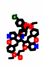 CCOC(=O)CCOc1ccnc2c1C(=C(C)C(=C1C=C3CC=CC=C3Oc3nccc(OCCC(=O)OCC)c31)N1CCC(O)(c3ccc(Cl)cc3)CC1)C=C1CC=CC=C1O2